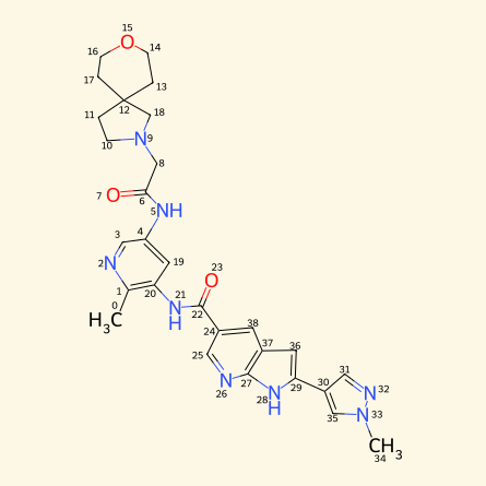 Cc1ncc(NC(=O)CN2CCC3(CCOCC3)C2)cc1NC(=O)c1cnc2[nH]c(-c3cnn(C)c3)cc2c1